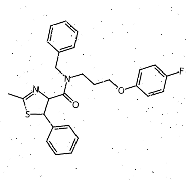 CC1=NC(C(=O)N(CCCOc2ccc(F)cc2)Cc2ccccc2)C(c2ccccc2)S1